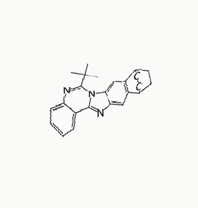 CC(C)(C)c1nc2ccccc2c2nc3cc4c(cc3n12)C1CCC4CC1